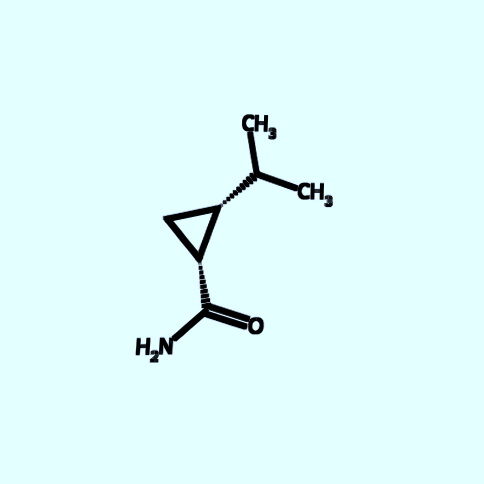 CC(C)[C@H]1C[C@H]1C(N)=O